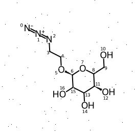 [N-]=[N+]=NCCO[C@H]1OC(CO)[C@@H](O)C(O)C1O